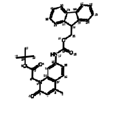 Cc1cc(=O)n(CC(=O)OC(C)(C)C)c2cc(NC(=O)OCC3c4ccccc4-c4ccccc43)ccc12